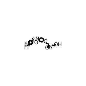 CN(CCO)C(=O)CCOC1CCC(N(C)C(=O)Oc2ccc(C(F)(F)F)cc2)CC1